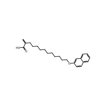 C=C(CCCCCCCCCCCOc1ccc2ccccc2c1)C(=O)O